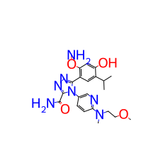 COCCN(C)c1ccc(-n2c(C(N)=O)nnc2-c2cc(C(C)C)c(O)cc2ON)cn1